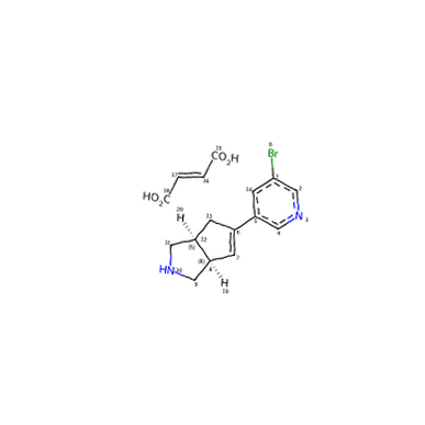 Brc1cncc(C2=C[C@H]3CNC[C@H]3C2)c1.O=C(O)C=CC(=O)O